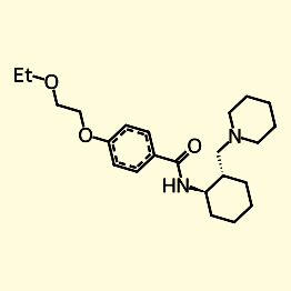 CCOCCOc1ccc(C(=O)N[C@@H]2CCCC[C@H]2CN2CCCCC2)cc1